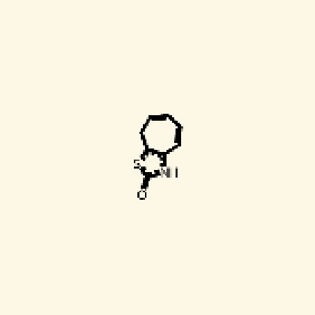 O=c1[nH]c2c(s1)CC=CC=C2